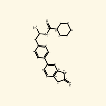 N#CC(Cc1ccc(-c2ccc3c(c2)NC(=O)C3)cc1)NC(=O)C1CCCCC1